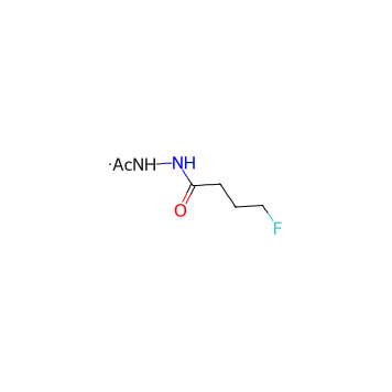 CC(=O)[N]NC(=O)CCCF